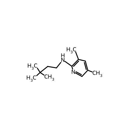 Cc1cnc(NCCC(C)(C)C)c(C)c1